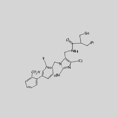 CCCCc1nc(Cl)c(CNC(=O)C(CS)CC(C)C)n1Cc1ccc(-c2ccccc2C(=O)O)cc1F